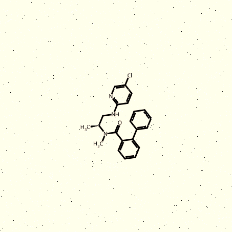 C[C@@H](CNc1ccc(Cl)cn1)N(C)C(=O)c1ccccc1-c1ccccc1